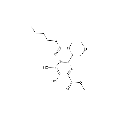 CCCCOC(=O)N1CCOCC1c1nc(O)c(O)c(C(=O)OC)n1